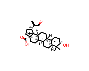 C=C(C=O)[C@@H]1CC[C@]2(C(=O)O)CC[C@]3(C)[C@H](CC[C@@H]4[C@@]5(C)CC[C@H](O)C(C)(C)[C@@H]5CC[C@]43C)[C@@H]12